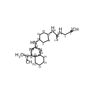 C#CCNC(=S)N[C@H]1CC[C@@H](Nc2nc3c(c(N(C)C)n2)CCCC3)CC1